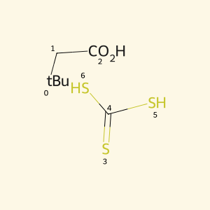 CC(C)(C)CC(=O)O.S=C(S)S